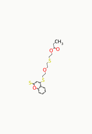 CCC(=O)OCCSCCOCCSc1cc(=S)oc2ccccc12